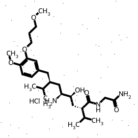 COCCCOc1cc(C[C@@H](C[C@H](N)[C@@H](O)C[C@H](C(=O)NCC(N)=O)C(C)C)C(C)C)ccc1OC.Cl